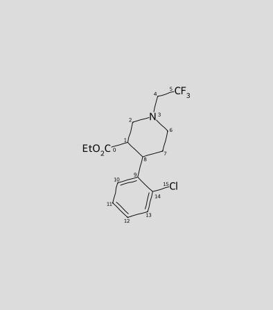 CCOC(=O)C1CN(CC(F)(F)F)CCC1c1ccccc1Cl